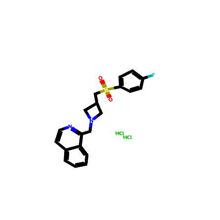 Cl.Cl.O=S(=O)(CC1CN(Cc2nccc3ccccc23)C1)c1ccc(F)cc1